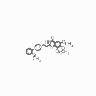 COc1ccccc1N1CCN(CCc2nc3c(OC)c(OC)c(OC)cc3c(=O)[nH]2)CC1